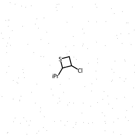 CC(C)C1SCC1Cl